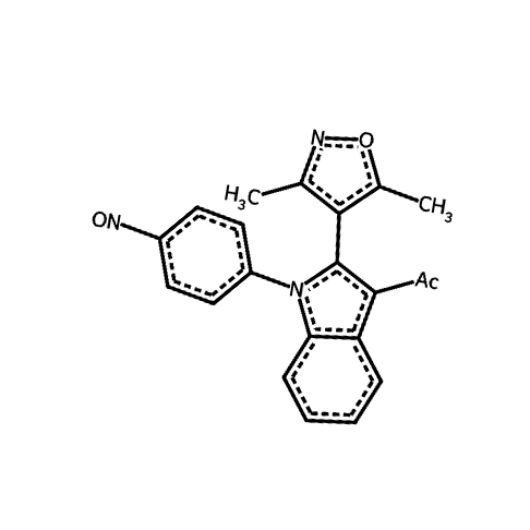 CC(=O)c1c(-c2c(C)noc2C)n(-c2ccc(N=O)cc2)c2ccccc12